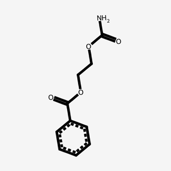 NC(=O)OCCOC(=O)c1ccccc1